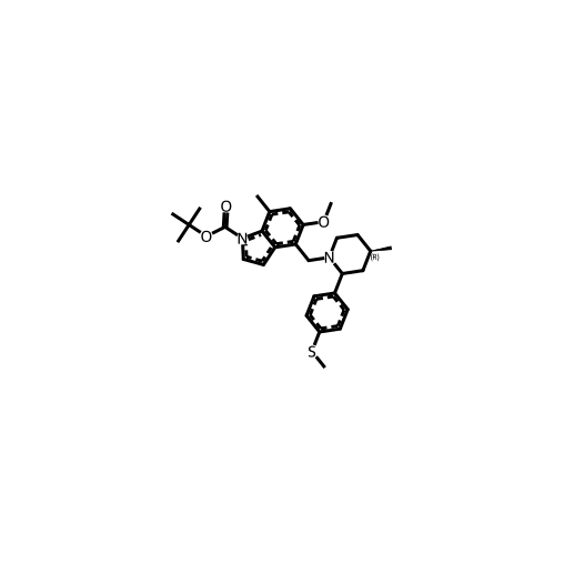 COc1cc(C)c2c(ccn2C(=O)OC(C)(C)C)c1CN1CC[C@@H](C)CC1c1ccc(SC)cc1